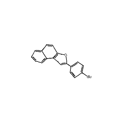 CC(C)(C)c1ccc(-c2cc3c(ccc4ccccc43)o2)cc1